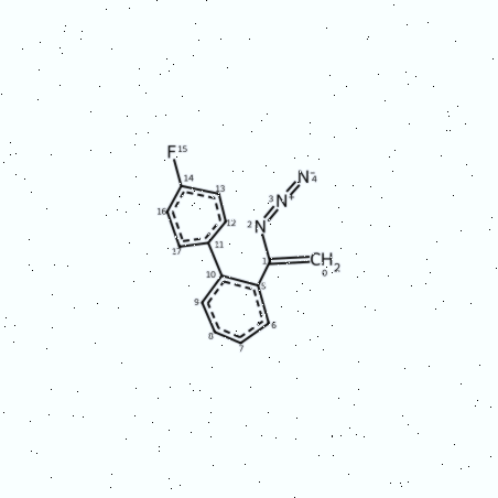 C=C(N=[N+]=[N-])c1ccccc1-c1ccc(F)cc1